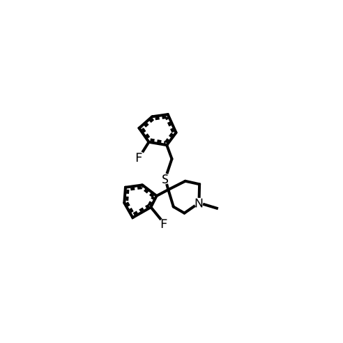 CN1CCC(SCc2ccccc2F)(c2ccccc2F)CC1